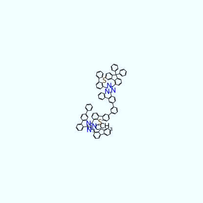 CC1(C)c2ccccc2-c2cccc(-c3nc(-c4ccccc4-c4ccc(-c5ccccc5)cc4)nc(-c4cccc5c4sc4ccc(-c6cccc(-c7ccc(-c8nc(-c9cccc%10c9-c9ccccc9C%10(c9ccccc9)c9ccccc9)nc(-c9cccc%10c9sc9ccccc9%10)n8)c(-c8ccccc8)c7)c6)cc45)n3)c21